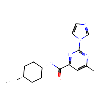 CO[C@H]1CC[C@H](NC(=O)c2cc(C(C)C)nc(-n3ccnc3)n2)CC1